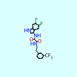 O=C(NCCc1cccc(C(F)(F)F)c1)C(=O)Nc1c[nH]c2cc(F)c(F)cc12